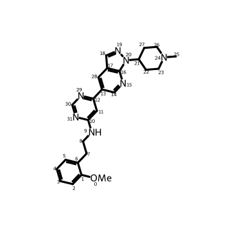 COc1ccccc1CCNc1cc(-c2cnc3c(cnn3C3CCN(C)CC3)c2)ncn1